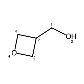 OCC1[CH]OC1